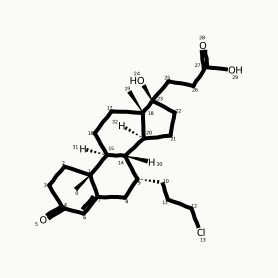 C[C@]12CCC(=O)C=C1C[C@@H](CCCCl)[C@@H]1[C@@H]2CC[C@@]2(C)[C@H]1CC[C@@]2(O)CCC(=O)O